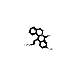 COc1ccc2c(C=CC(=O)O)c3n(c(=O)c2c1)CCc1ccccc1-3